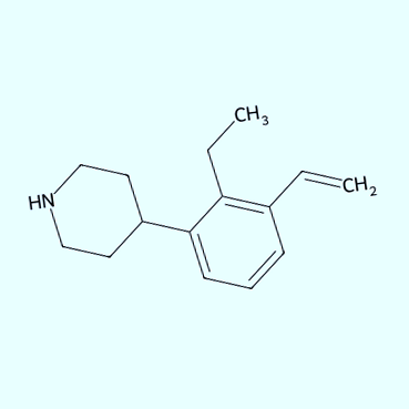 C=Cc1cccc(C2CCNCC2)c1CC